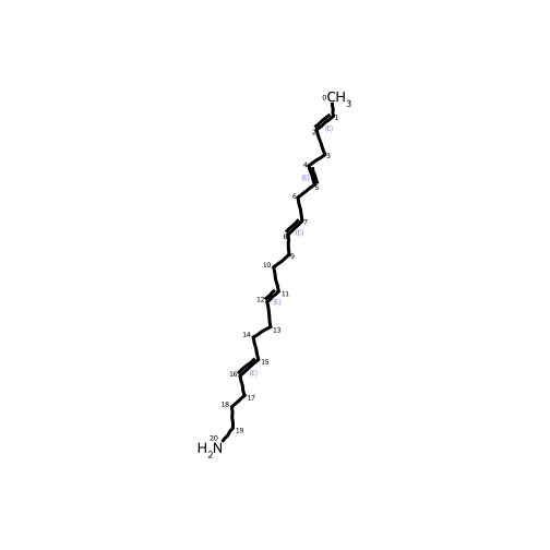 C/C=C/C/C=C/C/C=C/CC/C=C/CC/C=C/CCCN